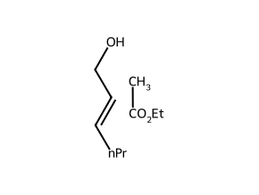 CCCC=CCO.CCOC(C)=O